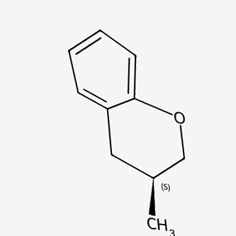 C[C@@H]1COc2ccccc2C1